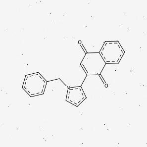 O=C1C=C(c2cccn2Cc2ccccc2)C(=O)c2ccccc21